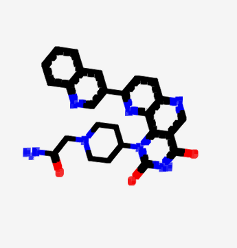 NC(=O)CN1CCC(n2c(=O)[nH]c(=O)c3cnc4ccc(-c5cnc6ccccc6c5)nc4c32)CC1